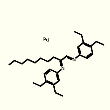 CCCCCCCCC(C=Nc1ccc(CC)c(CC)c1)=Nc1ccc(CC)c(CC)c1.[Pd]